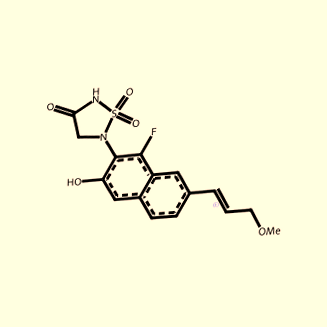 COC/C=C/c1ccc2cc(O)c(N3CC(=O)NS3(=O)=O)c(F)c2c1